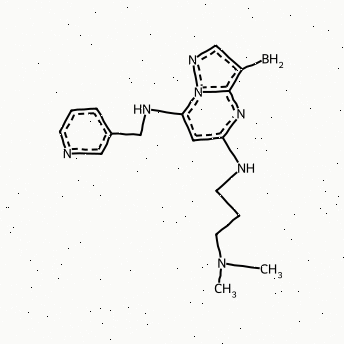 Bc1cnn2c(NCc3cccnc3)cc(NCCCN(C)C)nc12